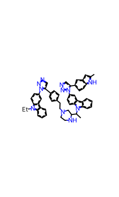 CCn1c2ccccc2c2cc(-n3nncc3-c3ccc(CCN4CCNC(C(C)n5c6ccccc6c6cc(-n7nncc7-c7ccc8[nH]c(C)cc8c7)ccc65)C4)cc3)ccc21